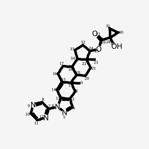 CC12Cc3cnn(-c4cnccn4)c3C=C1CCC1C2CCC2(C)C(OC(=O)C3(O)CC3)CCC12